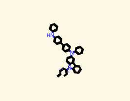 C=C/C=C\C(=C/C)n1c2ccccc2c2cc(N(c3ccccc3)c3ccc(-c4ccc(Nc5ccccc5)cc4)cc3)ccc21